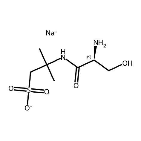 CC(C)(CS(=O)(=O)[O-])NC(=O)[C@@H](N)CO.[Na+]